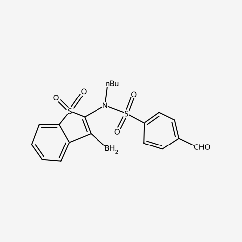 BC1=C(N(CCCC)S(=O)(=O)c2ccc(C=O)cc2)S(=O)(=O)c2ccccc21